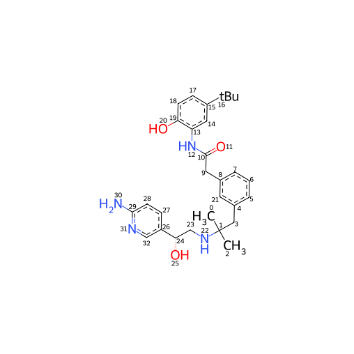 CC(C)(Cc1cccc(CC(=O)Nc2cc(C(C)(C)C)ccc2O)c1)NC[C@H](O)c1ccc(N)nc1